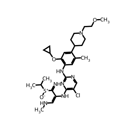 CN/C=C(/Nc1nc(Nc2cc(C)c(C3CCN(CCOC)CC3)cc2OC2CC2)ncc1Cl)C(=N)[S+]([O-])C(C)C